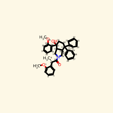 COc1ccccc1[C@H](C)C(=O)N1CC2[C@H](C1)C(c1ccccc1)(c1ccccc1)CCC2(O)c1ccccc1OC